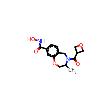 O=C(NO)c1ccc2c(c1)OCC(C(F)(F)F)N(C(=O)C1COC1)C2